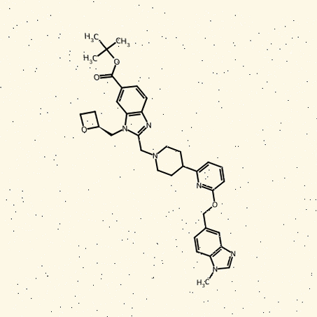 Cn1cnc2cc(COc3cccc(C4CCN(Cc5nc6ccc(C(=O)OC(C)(C)C)cc6n5C[C@@H]5CCO5)CC4)n3)ccc21